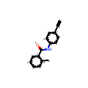 C#Cc1ccc(NC(=O)c2ccccc2C)cc1